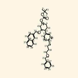 CC(C)(C)OC(=O)ON1CCC(c2cnc(SCCCOCc3ccccc3)nc2)C(OCc2ccc3ccccc3c2)C1